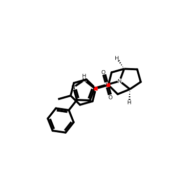 CC1CCN(C2C[C@H]3CC[C@@H](C2)N3S(=O)(=O)c2cc(-c3ccccc3)n[nH]2)CC1